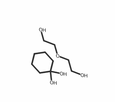 OC1(O)CCCCC1.OCCOCCO